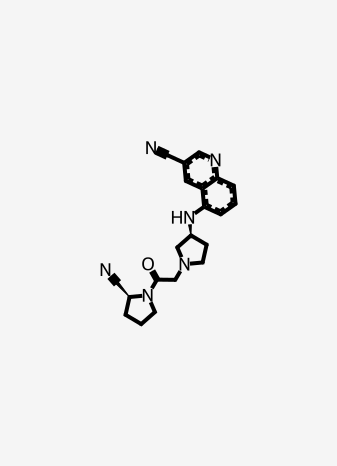 N#Cc1cnc2cccc(N[C@H]3CCN(CC(=O)N4CCC[C@H]4C#N)C3)c2c1